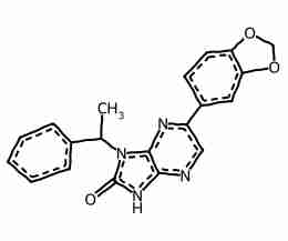 CC(c1ccccc1)n1c(=O)[nH]c2ncc(-c3ccc4c(c3)OCO4)nc21